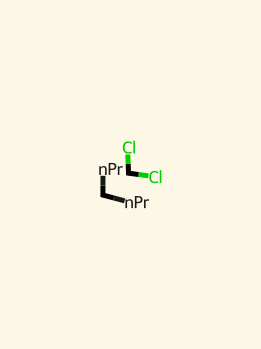 CCCCCCC.ClCCl